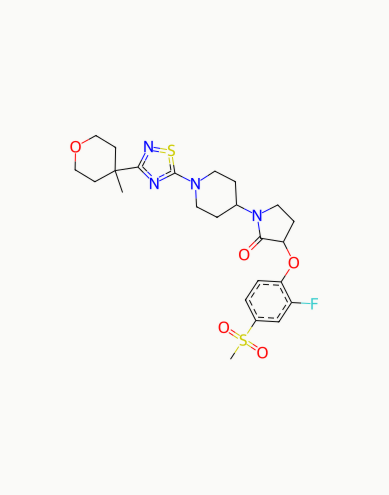 CC1(c2nsc(N3CCC(N4CCC(Oc5ccc(S(C)(=O)=O)cc5F)C4=O)CC3)n2)CCOCC1